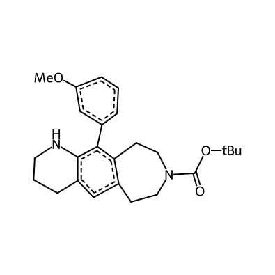 COc1cccc(-c2c3c(cc4c2NCCC4)CCN(C(=O)OC(C)(C)C)CC3)c1